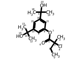 CCC(C)(Cl)C(=O)Oc1cc(C(C)(C)O)cc(C(C)(C)O)c1